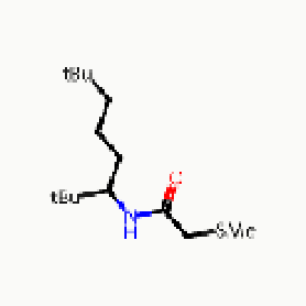 CSCC(=O)NC(CCCC(C)(C)C)C(C)(C)C